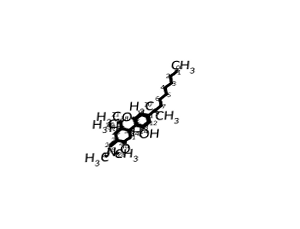 CCCCCCCCC(C)(C)c1cc(O)c2c(c1)OC(C)(C)[C@@H]1C/C(=C/N(C)C)C(=O)C[C@@H]21